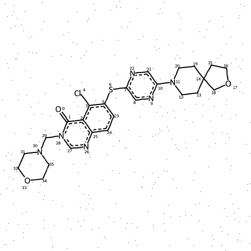 O=c1c2c(Cl)c(Sc3cnc(N4CCC5(CCOC5)CC4)cn3)ccc2ncn1CN1CCOCC1